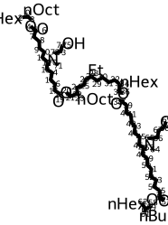 CCCCCCCCC(CCCCCC)COC(=O)CCCCCC(CCCCCC(=O)OCC(CCCCCCCC)CCCC(CC)CCCCC(CCCCCC)COC(=O)CCCCCCCCC(CCCCCCCCC(=O)OCC(CCCC)CCCCCC)N(C)CCCCO)N(C)CCCO